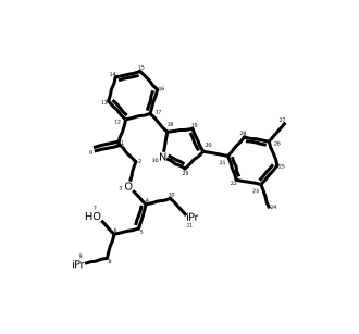 C=C(CO/C(=C\C(O)CC(C)C)CC(C)C)c1ccccc1C1C=C(c2cc(C)cc(C)c2)C=N1